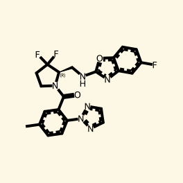 Cc1ccc(-n2nccn2)c(C(=O)N2CCC(F)(F)[C@H]2CNc2nc3cc(F)ccc3o2)c1